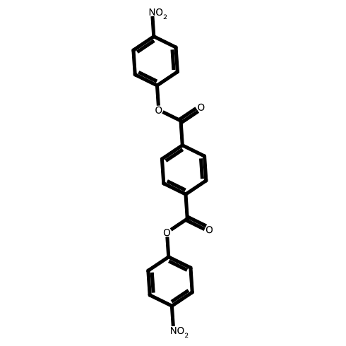 O=C(Oc1ccc([N+](=O)[O-])cc1)c1ccc(C(=O)Oc2ccc([N+](=O)[O-])cc2)cc1